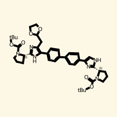 CC(C)(C)OC(=O)N1CCC[C@H]1c1nc(-c2ccc(-c3ccc(-c4[nH]c([C@@H]5CCCN5C(=O)OC(C)(C)C)nc4CC4OCCO4)cc3)cc2)c[nH]1